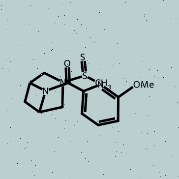 COc1cccc(C(=O)N2C3CC2CN(S(C)=S)C3)n1